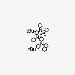 CC(C)(C)c1ccc(N(c2ccc3c(c2)N(c2ccccc2)c2cc(C(C)(C)C)cc4c2B3c2sc3c(c2N4c2ccccc2)CCC3)c2cccc3ccccc23)cc1